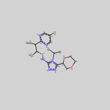 CCC(CC)n1c(NSC(C)C(OC)c2ncc(Cl)cn2)nnc1C1COCCO1